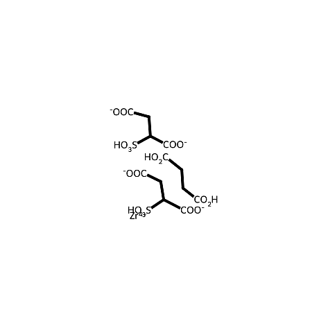 O=C(O)CCC(=O)O.O=C([O-])CC(C(=O)[O-])S(=O)(=O)O.O=C([O-])CC(C(=O)[O-])S(=O)(=O)O.[Zr+4]